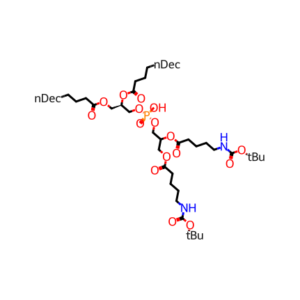 CCCCCCCCCCCCCC(=O)OC[C@H](COP(=O)(O)OCC(COC(=O)CCCCNC(=O)OC(C)(C)C)OC(=O)CCCCNC(=O)OC(C)(C)C)OC(=O)CCCCCCCCCCCCC